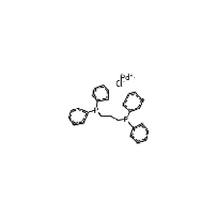 [Cl-].[Pd+].c1ccc(P(CCCP(c2ccccc2)c2ccccc2)c2ccccc2)cc1